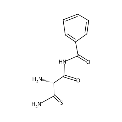 NC(=S)[C@H](N)C(=O)NC(=O)c1ccccc1